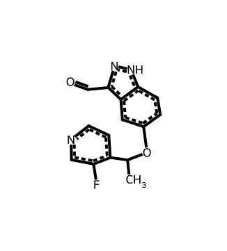 CC(Oc1ccc2[nH]nc(C=O)c2c1)c1ccncc1F